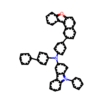 c1ccc(-c2ccc(N(c3ccc(-c4ccc5ccc6oc7ccccc7c6c5c4)cc3)c3ccc4c(c3)c3ccccc3n4-c3ccccc3)cc2)cc1